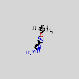 C[Si](C)(C)CCOCn1cc(-c2ccc(NN)nn2)cn1